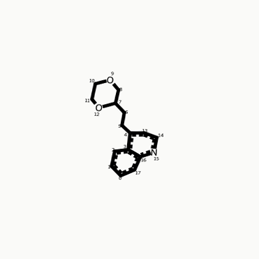 c1ccc2c(CCC3COCCO3)ccnc2c1